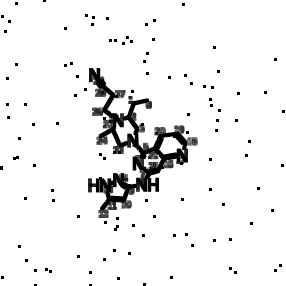 CCC1CN(c2nc(Nc3cc(C)[nH]n3)cc3ncccc23)CC(C)N1CCC#N